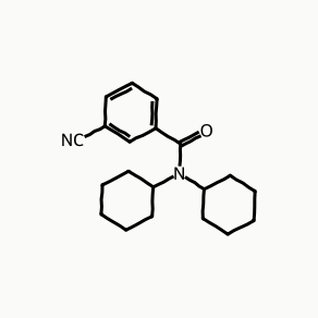 N#Cc1cccc(C(=O)N(C2CCCCC2)C2CCCCC2)c1